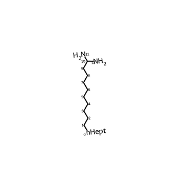 CCCCCCCCCCCCCCCCC(N)N